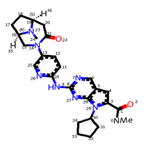 CNC(=O)c1cc2cnc(Nc3ccc(N4C[C@H]5CC[C@@H](CC4=O)N5C)cn3)nc2n1C1CCCC1